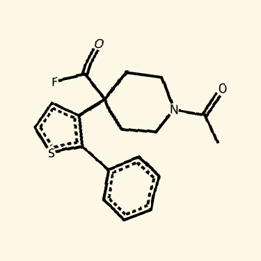 CC(=O)N1CCC(C(=O)F)(c2ccsc2-c2ccccc2)CC1